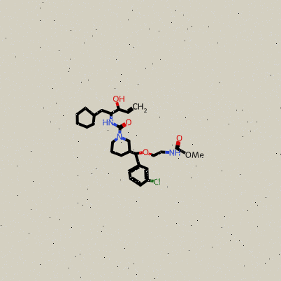 C=CC(O)C(CC1CCCCC1)NC(=O)N1CCCC(C(OCCNC(=O)OC)c2cccc(Cl)c2)C1